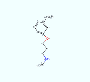 CCCCCCCCNCCCOc1cccc(C(=O)O)c1